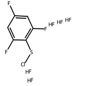 F.F.F.F.F.Fc1cc(F)c(SCl)c(F)c1